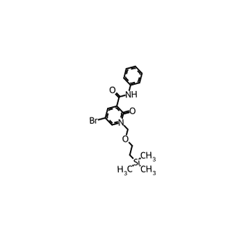 C[Si](C)(C)CCOCn1cc(Br)cc(C(=O)Nc2ccccc2)c1=O